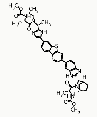 CCCN(C(=O)[C@H](C)NC(=O)OC)[C@@H](C)c1ncc(-c2ccc3c(c2)sc2cc(-c4ccc5nc([C@@H]6[C@H]7CC[C@H](C7)N6C(=O)[C@H](C)NC(=O)OC)[nH]c5c4)ccc23)[nH]1